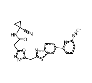 [C-]#[N+]c1cccc(-c2ccc3nc(Cc4nnc(CC(=O)NC5(C#N)CC5)o4)sc3c2)n1